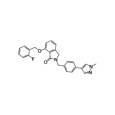 Cn1cc(-c2ccc(CN3Cc4cccc(OCc5ccccc5F)c4C3=O)cc2)cn1